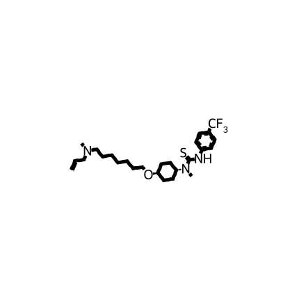 C=CCN(C)CCCCCCCO[C@H]1CC[C@H](N(C)C(=S)Nc2ccc(C(F)(F)F)cc2)CC1